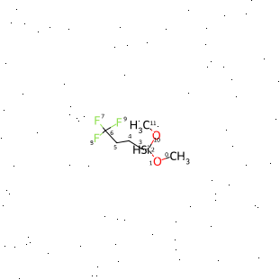 CO[SiH](CCCC(F)(F)F)OC